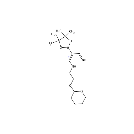 CC1(C)OB(/C(C=N)=C/NCCOC2CCCCO2)OC1(C)C